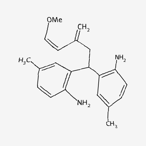 C=C(/C=C\OC)CC(c1cc(C)ccc1N)c1cc(C)ccc1N